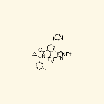 CCn1cc(-c2cc(Cn3ccnc3)cc3c2CCN(C(c2cccc(C)c2)C2CC2)C3=O)c(C(F)(F)F)n1